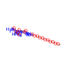 CCCOCCOCCOCCOCCOCCOCCOCCOCCOCCOCCOCCN/C=C(/CNC(=O)OCc1ccc(NC(=O)[C@H](CCCNC(N)=O)NC(=O)[C@H](CC(C)C)NC(=O)CON=C(C)C)cc1)N=N